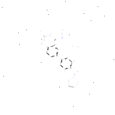 CC(=O)N1c2ccc(-c3ccc(CN4CCCC4)cc3)cc2C(NC(=O)O)CC1C.Cl